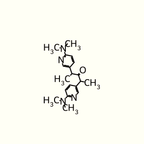 CC(C(=O)C(C)c1ccc(N(C)C)nc1)c1ccc(N(C)C)nc1